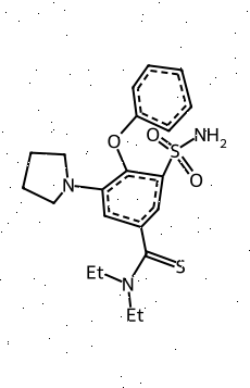 CCN(CC)C(=S)c1cc(N2CCCC2)c(Oc2ccccc2)c(S(N)(=O)=O)c1